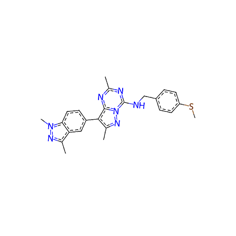 CSc1ccc(CNc2nc(C)nc3c(-c4ccc5c(c4)c(C)nn5C)c(C)nn23)cc1